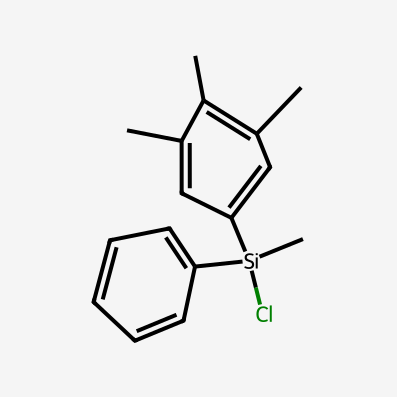 Cc1cc([Si](C)(Cl)c2ccccc2)cc(C)c1C